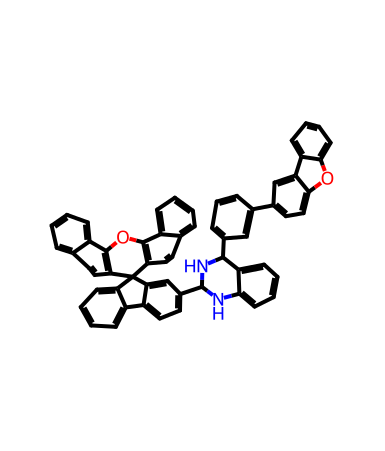 c1cc(-c2ccc3oc4ccccc4c3c2)cc(C2NC(c3ccc4c(c3)C3(c5ccccc5-4)c4ccc5ccccc5c4Oc4c3ccc3ccccc43)Nc3ccccc32)c1